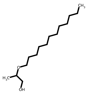 CCCCCCCCCCCCOC(C)CO